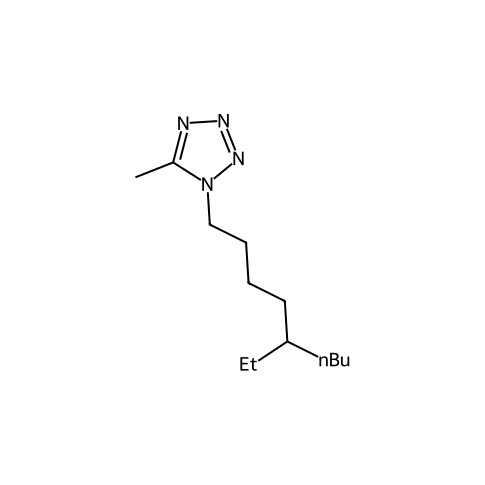 CCCCC(CC)CCCCn1nnnc1C